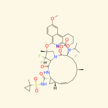 COc1ccc2c(O[C@]3(C)CN4C(=O)[C@@H](N(C(=O)O)C(C)C)[C@H](C)C[C@@H](C)CC/C=C\[C@@H]5C[C@@]5(C(=O)NS(=O)(=O)C5(C)CC5)NC(=O)[C@H]4C3(F)F)nc3c(c2c1)CCCO3